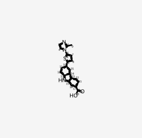 Cc1nccn1-c1ccc(-c2ccc3[nH]c4cc(C(=O)O)ccc4c3c2)s1